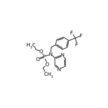 CCOP(=O)(OCC)N(Cc1ccc(C(F)(F)F)cc1)c1cnccn1